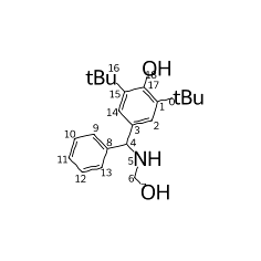 CC(C)(C)c1cc(C(NCO)c2ccccc2)cc(C(C)(C)C)c1O